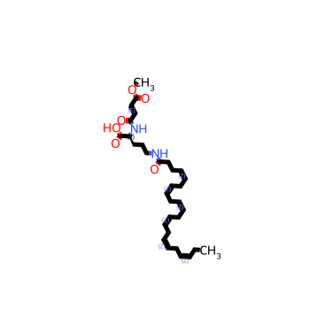 CC/C=C\C/C=C\C/C=C\C/C=C\C/C=C\C/C=C\CCC(=O)NCCC[C@H](NC(=O)/C=C/C(=O)OC)C(=O)O